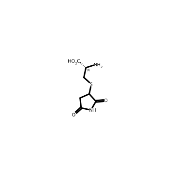 N[C@H](CSC1CC(=O)NC1=O)C(=O)O